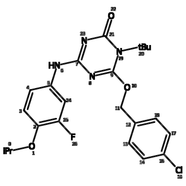 CC(C)Oc1ccc(Nc2nc(OCc3ccc(Cl)cc3)n(C(C)(C)C)c(=O)n2)cc1F